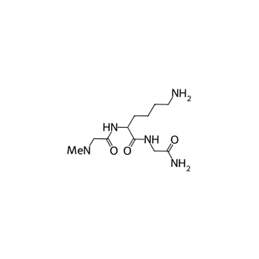 CNCC(=O)NC(CCCCN)C(=O)NCC(N)=O